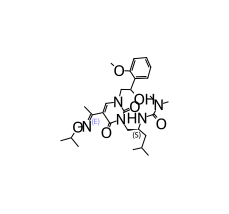 COc1ccccc1C(O)Cn1cc(/C(C)=N/OC(C)C)c(=O)n(C[C@H](CC(C)C)NC(=O)N(C)C)c1=O